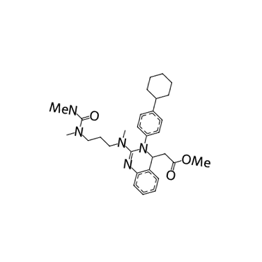 CNC(=O)N(C)CCCN(C)C1=Nc2ccccc2C(CC(=O)OC)N1c1ccc(C2CCCCC2)cc1